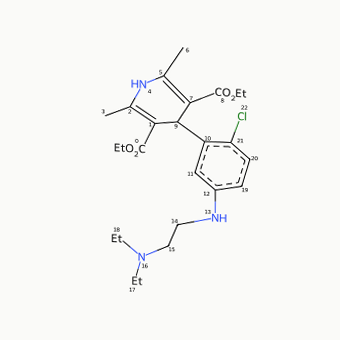 CCOC(=O)C1=C(C)NC(C)=C(C(=O)OCC)C1c1cc(NCCN(CC)CC)ccc1Cl